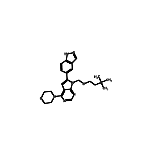 C[Si](C)(C)CCOCn1c(-c2ccc3[nH]ncc3c2)cc2c(N3CCOCC3)ncnc21